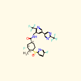 C[C@@H]1C([S+]([O-])c2ccc(F)cn2)CC[C@H](C(=O)NCc2cc(-c3cnc(C(F)(F)F)nc3)cnc2C(F)(F)F)C[C@H]1F